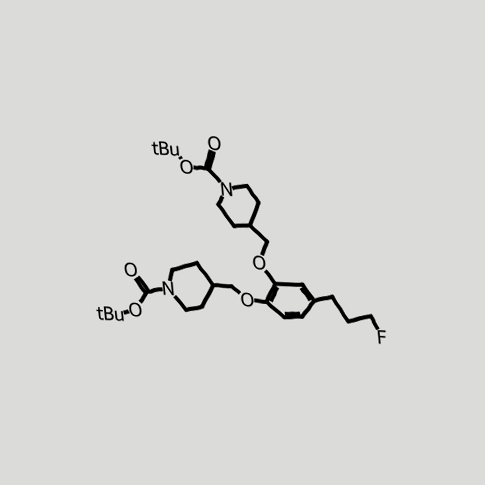 CC(C)(C)OC(=O)N1CCC(COc2ccc(CCCF)cc2OCC2CCN(C(=O)OC(C)(C)C)CC2)CC1